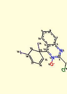 [O-][n+]1c(CCl)nc2ccccc2c1C1(I)C=CC=C(I)C1